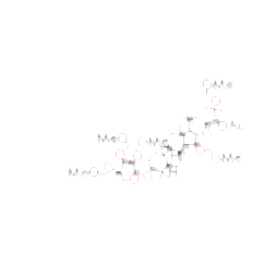 COCO[C@@H]1[C@@H](OCOC)[C@H](O[C@H]2CCC34C[C@]35CC[C@]3(C)C6=C(O[C@@H]([C@H](OC(C)=O)C(C)(C)OCOC)C[C@H]6C)[C@H](OCOC)[C@@]3(C)[C@@H]5CC[C@H]4C2(C)C)OC[C@H]1OCOC